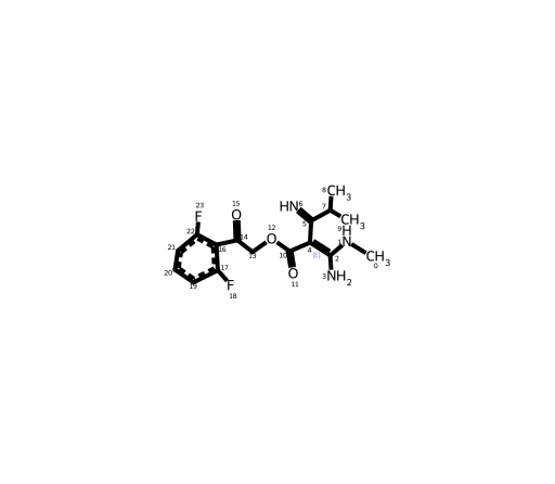 CN/C(N)=C(\C(=N)C(C)C)C(=O)OCC(=O)c1c(F)cccc1F